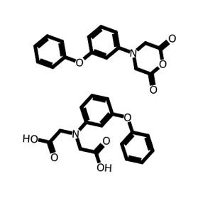 O=C(O)CN(CC(=O)O)c1cccc(Oc2ccccc2)c1.O=C1CN(c2cccc(Oc3ccccc3)c2)CC(=O)O1